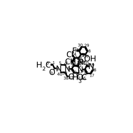 C=CC(=O)N1CC(C)N2c3c(c(=O)n(-c4c(C)ccnc4C(C)C)c4nc(-c5c(O)cccc5F)c(Cl)cc34)OCC2C1